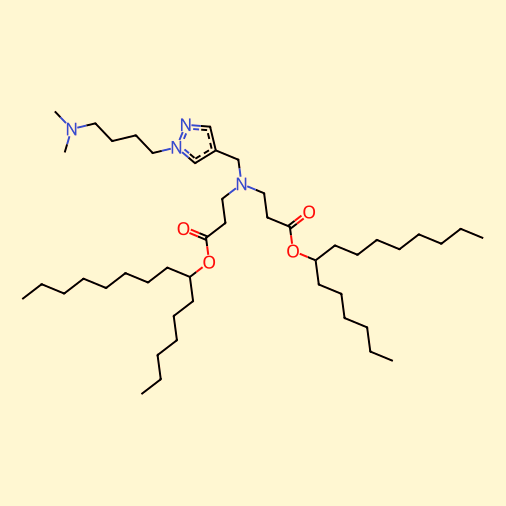 CCCCCCCCC(CCCCCC)OC(=O)CCN(CCC(=O)OC(CCCCCC)CCCCCCCC)Cc1cnn(CCCCN(C)C)c1